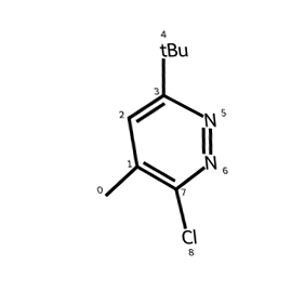 Cc1cc(C(C)(C)C)nnc1Cl